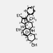 CCC1=C(c2ccncn2)[C@@]2(C)CC[C@H]3[C@@H]([C@@H](CC)C=C4C[C@@H](O)CC[C@@]43C)[C@@H]2C1